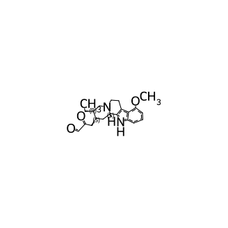 CC[C@H]1CN2CCc3c([nH]c4cccc(OC)c34)[C@@H]2C[C@H]1CC(=O)C=O